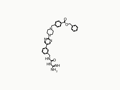 N=C(N)NC(=O)NCc1cccc(-c2cnc(N3CCN(Cc4ccc(C(=O)OCc5ccccc5)cc4)CC3)nc2)c1